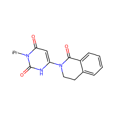 CC(C)n1c(=O)cc(N2CCc3ccccc3C2=O)[nH]c1=O